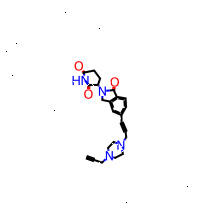 C#CCN1CCN(CC#Cc2ccc3c(c2)CN(C2CCC(=O)NC2=O)C3=O)CC1